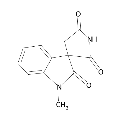 CN1C(=O)C2(CC(=O)NC2=O)c2ccccc21